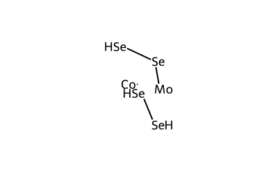 [Co].[SeH][SeH].[SeH][Se][Mo]